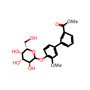 COC(=O)c1cccc(-c2ccc(OC3O[C@@H](CO)[C@@H](O)[C@@H](O)[C@@H]3O)c(OC)c2)c1